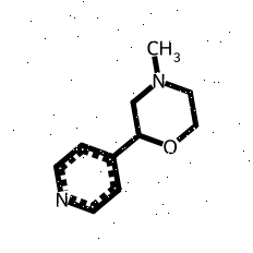 CN1CCOC(c2ccncc2)C1